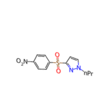 CCCn1ccc(S(=O)(=O)c2ccc([N+](=O)[O-])cc2)n1